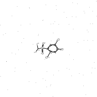 O=S(=O)(c1cc(Cl)c(Cl)cc1Cl)C(I)I